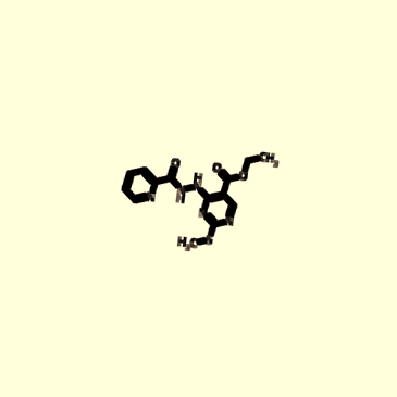 CCOC(=O)c1cnc(SC)nc1NNC(=O)c1ccccn1